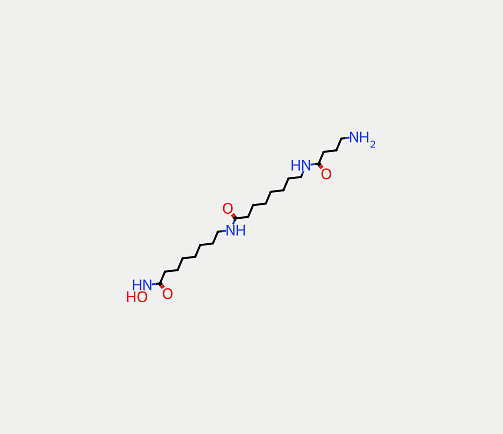 NCCCC(=O)NCCCCCCCC(=O)NCCCCCCCC(=O)NO